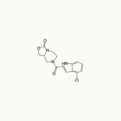 O=C(c1cc2c(Cl)cccc2[nH]1)N1CCN2C(=O)OCC2C1